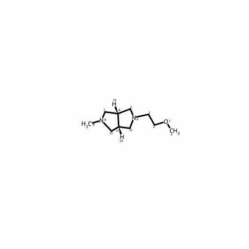 COCCN1C[C@H]2CN(C)C[C@H]2C1